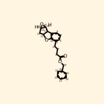 O=C(CCCc1cccc2c1OC1C[C@H]3O[C@H]3C21)OCc1ccccc1